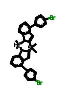 C[Si]1(C)C2=Cc3c(-c4ccc(Br)cc4)cccc3[CH]2[Hf]([CH3])([CH3])[CH]2C1=Cc1c(-c3ccc(Br)cc3)cccc12